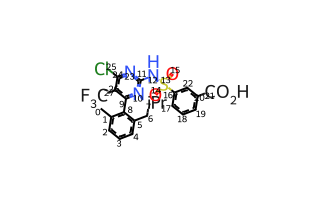 Cc1cccc(CC(C)C)c1-c1nc(NS(=O)(=O)c2cccc(C(=O)O)c2)nc(Cl)c1C(F)(F)F